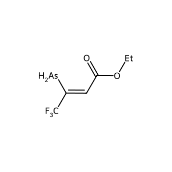 CCOC(=O)C=C([AsH2])C(F)(F)F